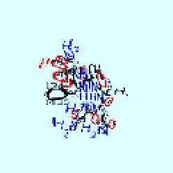 C[C@H](NC(=O)[C@H](C)NC(=O)[C@H](CCC(N)=O)NC(=O)[C@@H](N)CC(N)=O)C(=O)N[C@@H](Cc1ccccc1)C(=O)N[C@@H](CC(N)=O)C(=O)O